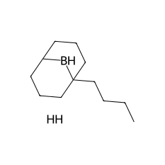 CCCCC12BC(CCC1)CCC2.[HH]